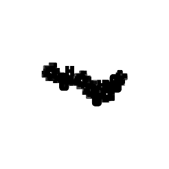 CC(C)(C)OC(=O)Nc1cccc(C(=O)N2CCC(c3cccc(CNC(=O)OCc4ccccc4)c3)CC2)c1